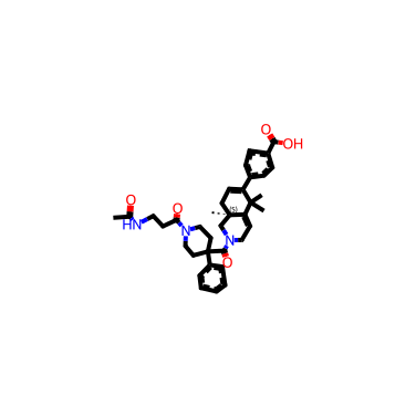 CC(=O)NCCC(=O)N1CCC(C(=O)N2CC=C3C(C)(C)C(c4ccc(C(=O)O)cc4)=CC[C@]3(C)C2)(c2ccccc2)CC1